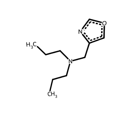 CCCN(CCC)Cc1cocn1